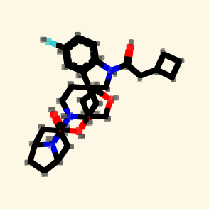 O=C(CC1CCC1)N1CC2(CCN(C3CC4CCC(C3)N4C(=O)O[C@H]3CCOC3)CC2)c2cc(F)ccc21